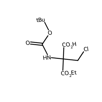 CCOC(=O)C(CCl)(NC(=O)OC(C)(C)C)C(=O)O